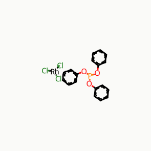 [Cl][Rh]([Cl])[Cl].c1ccc(OP(Oc2ccccc2)Oc2ccccc2)cc1